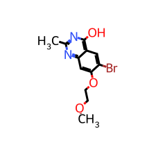 COCCOc1cc2nc(C)nc(O)c2cc1Br